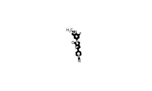 Cn1cc2cc(N3Cc4cc(C5CCB(C#N)CC5)sc4C3=O)cc(F)c2n1